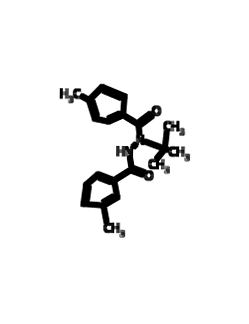 Cc1ccc(C(=O)N(NC(=O)c2cccc(C)c2)C(C)(C)C)cc1